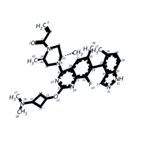 C=CC(=O)N1C[C@H](C)N(c2nc(OC3CC(N(C)C)C3)nc3c(F)c(-c4c(C)ccc5[nH]ncc45)c(C)cc23)C[C@H]1C